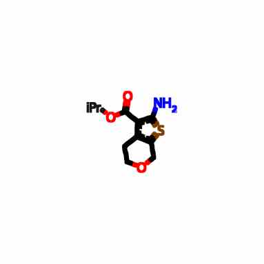 CC(C)OC(=O)c1c(N)sc2c1CCOC2